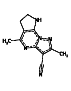 Cc1nc2c(C#N)c(C)nn2c2c1CCN2